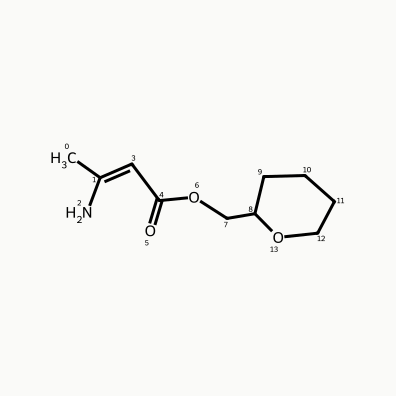 CC(N)=CC(=O)OCC1CCCCO1